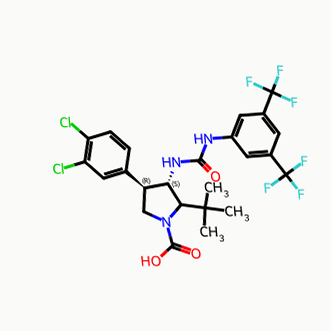 CC(C)(C)C1[C@@H](NC(=O)Nc2cc(C(F)(F)F)cc(C(F)(F)F)c2)[C@H](c2ccc(Cl)c(Cl)c2)CN1C(=O)O